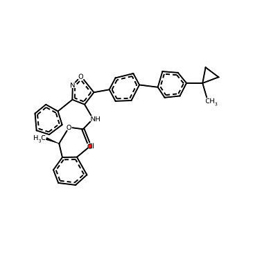 C[C@@H](OC(=O)Nc1c(-c2ccccc2)noc1-c1ccc(-c2ccc(C3(C)CC3)cc2)cc1)c1ccccc1Cl